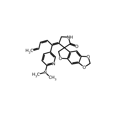 C=C/C=C\C(=C1/CNC(=O)C12COc1cc3c(cc12)OCO3)c1ccc(N(C)C)nc1